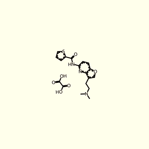 CN(C)CCc1coc2ccc(NC(=O)c3cccs3)nc12.O=C(O)C(=O)O